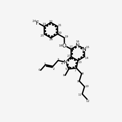 CC=CCn1c(C)c(CCCCC)c2cnnc(OCc3ccc(F)cc3)c21